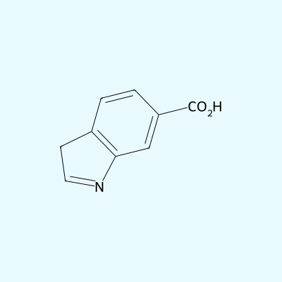 O=C(O)c1ccc2c(c1)N=CC2